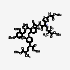 COc1ccc(Cn2nnnc2C2=C(CN3C=CC(N(CCN(C)C(=O)OC(C)(C)C)C(=O)OC(C)(C)C)=CC3C)CS[C@@H]3[C@H](NC(=O)/C(=N\OC(C)(C)C(=O)OC(C)(C)C)c4csc(NC(=O)OC(C)(C)C)n4)C(=O)N23)c(OC)c1